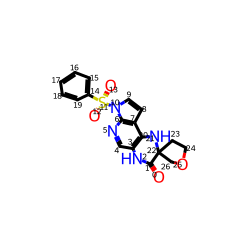 O=C1Nc2cnc3c(ccn3S(=O)(=O)c3ccccc3)c2NC12CCOC2